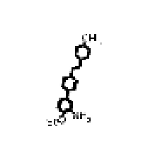 CCOc1ccc(C2C=CC(CCC3CCC(C)CC3)CC2)cc1N